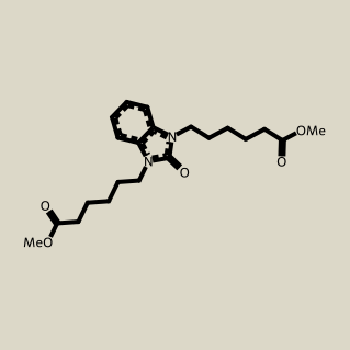 COC(=O)CCCCCn1c(=O)n(CCCCCC(=O)OC)c2ccccc21